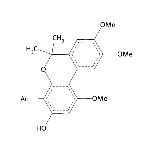 COc1cc2c(cc1OC)C(C)(C)Oc1c(C(C)=O)c(O)cc(OC)c1-2